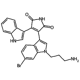 NCCCn1cc(C2=C(c3c[nH]c4ccccc34)C(=O)NC2=O)c2ccc(Br)cc21